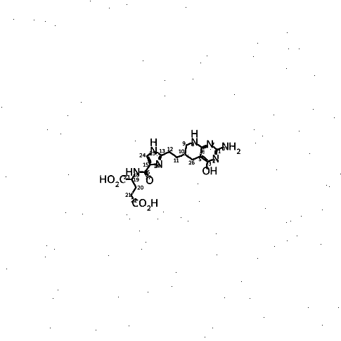 Nc1nc(O)c2c(n1)NCC(CCc1nc(C(=O)N[C@@H](CCC(=O)O)C(=O)O)c[nH]1)C2